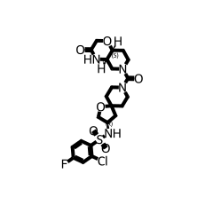 O=C1CO[C@H]2CCN(C(=O)N3CCC4(CC3)C[C@@H](NS(=O)(=O)c3ccc(F)cc3Cl)CO4)C[C@H]2N1